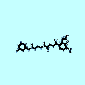 COc1ccc(C(=O)CCC(=O)NCCCNCc2cccc(I)c2)c2cc(C)oc12